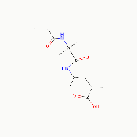 C=CC(=O)NC(C)(C)C(=O)NC(C)CC(C)C(=O)O